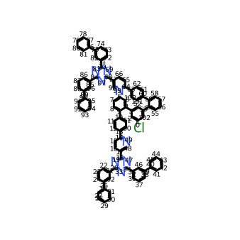 Clc1cc(-c2ccccc2-c2ccc(-c3ccc(-c4nc(-c5cccc(-c6ccccc6)c5)nc(-c5cccc(-c6ccccc6)c5)n4)cn3)cc2)cc(-c2ccccc2-c2ccc(-c3ccc(-c4nc(-c5cccc(-c6ccccc6)c5)nc(-c5cccc(-c6ccccc6)c5)n4)cn3)cc2)c1